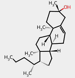 CCC[C@@H](C)[C@H]1CC[C@H]2[C@@H]3CC=C4C[C@@](C)(O)CC[C@]4(C)[C@H]3CC[C@]12C